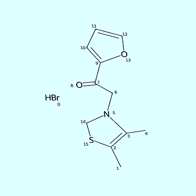 Br.CC1=C(C)N(CC(=O)c2ccco2)CS1